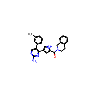 Cc1cccc(-c2cnc(N)nc2-c2c[nH]c(C(=O)N3CCc4ccccc4C3)c2)c1